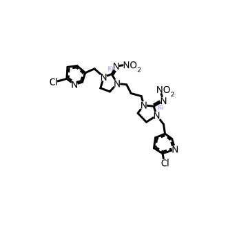 O=[N+]([O-])/N=C1\N(CCCN2CCN(Cc3ccc(Cl)nc3)/C2=N/[N+](=O)[O-])CCN1Cc1ccc(Cl)nc1